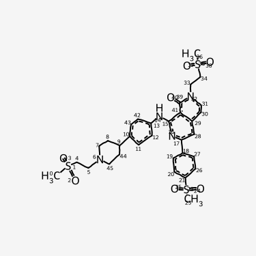 CS(=O)(=O)CCN1CCC(c2ccc(Nc3nc(-c4ccc(S(C)(=O)=O)cc4)cc4ccn(CCS(C)(=O)=O)c(=O)c34)cc2)CC1